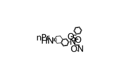 CCCN[C@H]1CCc2cc(N(c3cnco3)S(=O)(=O)c3ccccc3)ccc2C1